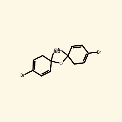 CCCCC1(OC2(CCCC)C=CC(Br)=CC2)C=CC(Br)=CC1